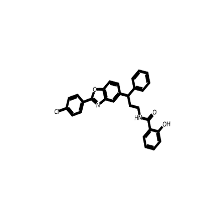 O=C(NCCC(c1ccccc1)c1ccc2oc(-c3ccc(Cl)cc3)nc2c1)c1ccccc1O